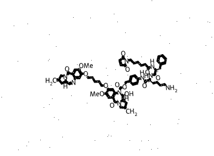 C=C1C[C@H]2C=Nc3cc(OCCCCCOc4cc5c(cc4OC)C(=O)N4CC(=C)C[C@H]4[C@H](O)N5C(=O)OCc4ccc(NC(=O)[C@H](CCCCN)NC(=O)[C@H](Cc5ccccc5)NC(=O)CCCCCN5C(=O)C=CC5=O)cc4)c(OC)cc3C(=O)N2C1